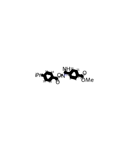 COC(=O)c1ccc(/C(N)=N/OC(=O)c2ccc(C(C)C)cc2)cc1